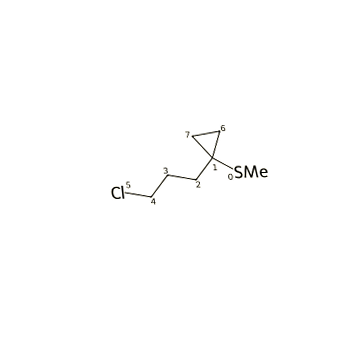 CSC1(CCCCl)CC1